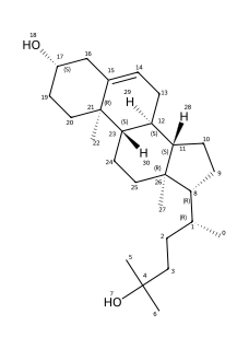 C[C@H](CCC(C)(C)O)[C@H]1CC[C@H]2[C@@H]3CC=C4C[C@@H](O)CC[C@]4(C)[C@H]3CC[C@]12C